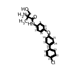 CC(N)(CO)C(=O)Nc1ccc(Oc2ccc(-c3ccc(Cl)cc3)cc2)cc1